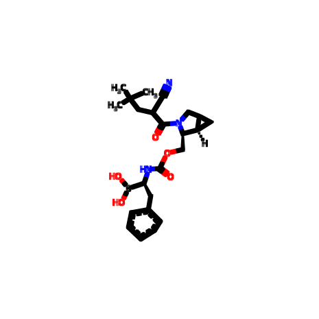 CC(C)(C)CC(C#N)C(=O)N1CC2C[C@H]2[C@H]1COC(=O)N[C@@H](Cc1ccccc1)B(O)O